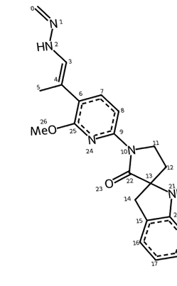 C=NN/C=C(\C)c1ccc(N2CCC3(Cc4ccccc4N3)C2=O)nc1OC